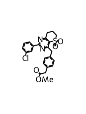 COC(=O)Cc1ccc(Cc2nc(-c3cccc(Cl)c3)nc3c2S(=O)(=O)CCC3)cc1